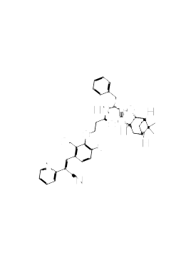 CC1(C)[C@@H]2C[C@H]3OB([C@H](Cc4ccccc4)NC(=O)CCOc4c(Cl)ccc(C=C(C#N)c5ccccn5)c4Cl)O[C@@]3(C)[C@H]1C2